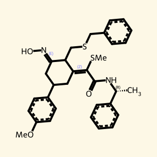 COc1ccc(C2C/C(=C(/SC)C(=O)N[C@H](C)c3ccccc3)C(CSCc3ccccc3)/C(=N/O)C2)cc1